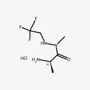 C[C@@H](N)C(=O)N(C)NCC(F)(F)F.Cl